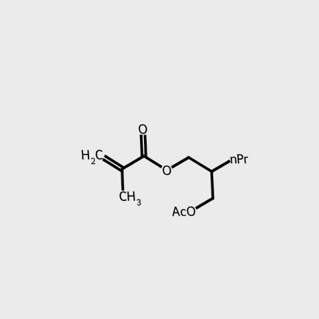 C=C(C)C(=O)OCC(CCC)COC(C)=O